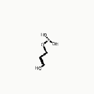 OC=CCOP(O)O